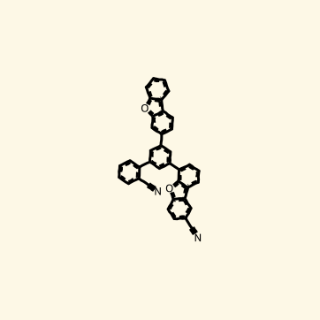 N#Cc1ccc2oc3c(-c4cc(-c5ccc6c(c5)oc5ccccc56)cc(-c5ccccc5C#N)c4)cccc3c2c1